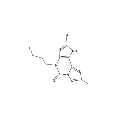 Cc1nc2c3[nH]c(Br)nc3n(CCCF)c(=O)n2n1